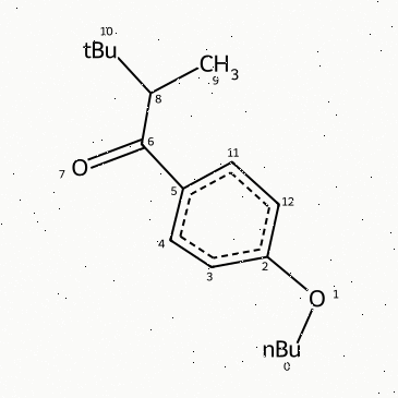 CCCCOc1ccc(C(=O)C(C)C(C)(C)C)cc1